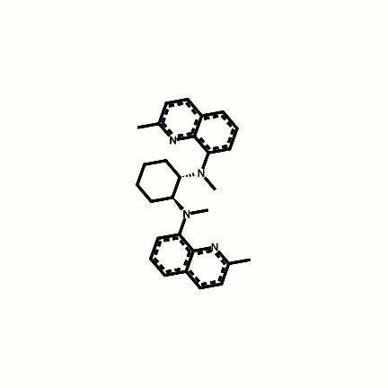 Cc1ccc2cccc(N(C)[C@H]3CCCC[C@@H]3N(C)c3cccc4ccc(C)nc34)c2n1